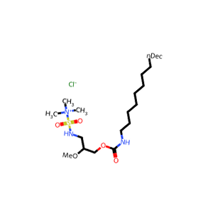 CCCCCCCCCCCCCCCCCCNC(=O)OCC(CNS(=O)(=O)[N+](C)(C)C)OC.[Cl-]